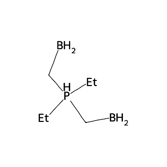 BC[PH](CB)(CC)CC